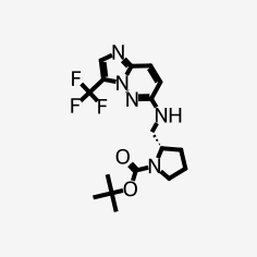 CC(C)(C)OC(=O)N1CCC[C@H]1CNc1ccc2ncc(C(F)(F)F)n2n1